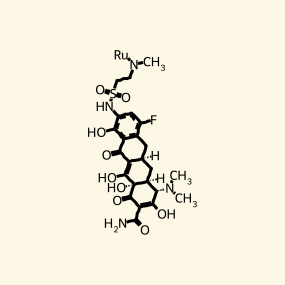 C[N]([Ru])CCS(=O)(=O)Nc1cc(F)c2c(c1O)C(=O)C1=C(O)[C@]3(O)C(=O)C(C(N)=O)=C(O)[C@@H](N(C)C)[C@@H]3C[C@@H]1C2